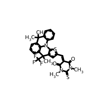 CN1C(=O)C(=Cc2cc3c(s2)N2c4ccccc4C(C)(C)c4cccc(c42)C3(C)C(F)(F)F)C(=O)N(C)C1=S